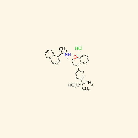 C[C@@H](NC[C@H]1C[C@H](c2ccc(C(C)(C)C(=O)O)cc2)c2ccccc2O1)c1cccc2ccccc12.Cl